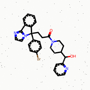 O=C(CCC1(c2ccc(Br)cc2)c2ccccc2-c2nccn21)N1CCC(C(O)c2ccccn2)CC1